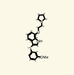 COc1cccc(Sc2c[nH]c3c(OCCN4CCCC4)cccc23)c1